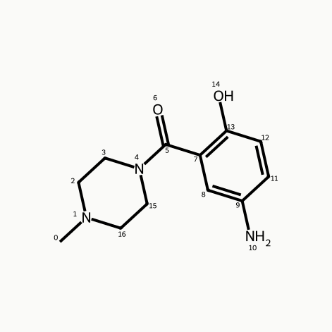 CN1CCN(C(=O)c2cc(N)ccc2O)CC1